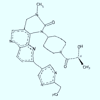 C[C@H](O)C(=O)N1CCC(N2C(=O)N(C)Cc3cnc4ccc(-c5cnc(CO)nc5)nc4c32)CC1